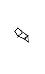 C1C2=C1N1CCC21